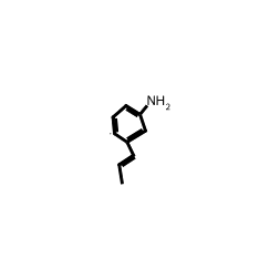 CC=Cc1[c]ccc(N)c1